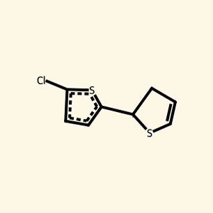 Clc1ccc([C]2CC=CS2)s1